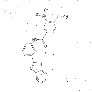 COc1ccc(C(=O)Nc2cccc(-c3nc4ccccc4s3)c2C)cc1[N+](=O)[O-]